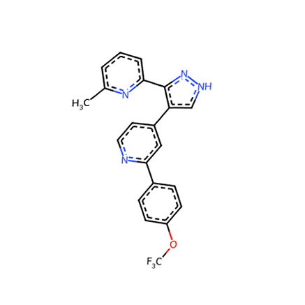 Cc1cccc(-c2n[nH]cc2-c2ccnc(-c3ccc(OC(F)(F)F)cc3)c2)n1